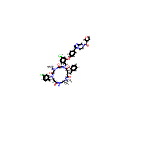 COC[C@@H]1NC(=O)[C@H](C)N(Cc2ccc(Cl)cc2Oc2ccc(-c3cnc4n3CCN(C(=O)[C@H]3CCOC3)C4)cc2)C(=O)C[C@@H](Cc2ccccc2)C(=O)N(C)[C@@H](C)CNC(=O)C[C@H](Cc2ccc(Cl)cc2)N(C)C1=O